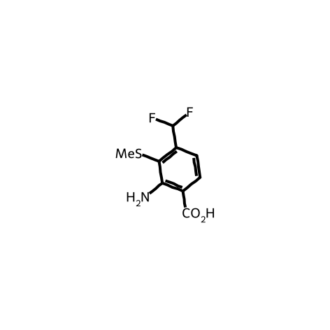 CSc1c(C(F)F)ccc(C(=O)O)c1N